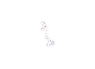 c1cc(-c2cccc(-c3cccc4c3oc3ccc5ccccc5c34)c2)cc(-c2ccc3c(c2)c2ccccc2c2nccnc32)c1